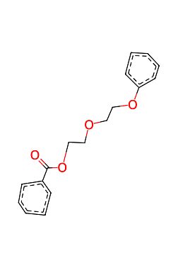 O=C(OCCOCCOc1ccccc1)c1ccccc1